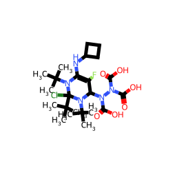 CC(C)(C)N1C(NC2CCC2)=C(F)C(N(C(=O)O)N(C(=O)O)C(=O)O)N(C(C)(C)C)C1(Cl)C(C)(C)C